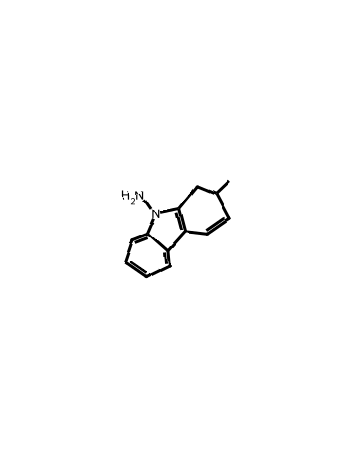 CC1C=Cc2c(n(N)c3ccccc23)C1